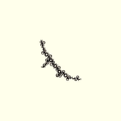 C=CC(=O)OCCCCOC(=O)C1CCC(C(=O)Oc2ccc(OC(=O)C3CCC(C(=O)Oc4ccc(OC(=O)C5CCC(C(=O)OCCCCOC(=O)C=C)CC5)c(C(=O)OCCOCC)c4)CC3)cc2C(=O)OC)CC1